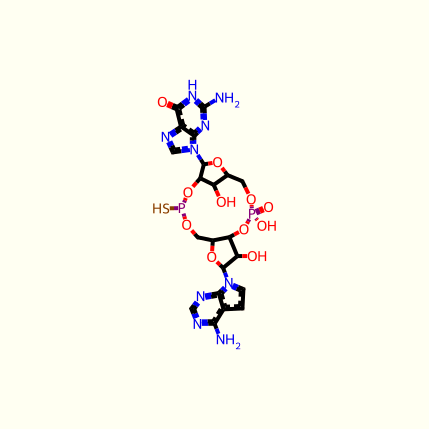 Nc1nc2c(ncn2C2OC3COP(=O)(O)OC4C(COP(S)OC2C3O)OC(n2ccc3c(N)ncnc32)C4O)c(=O)[nH]1